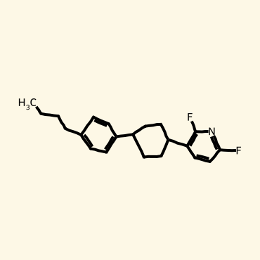 CCCCc1ccc(C2CCC(c3ccc(F)nc3F)CC2)cc1